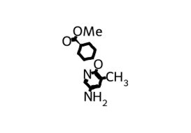 COC(=O)[C@H]1CC[C@H](Oc2ncc(N)cc2C)CC1